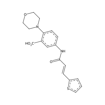 O=C(/C=C/c1cccs1)Nc1ccc(N2CCOCC2)c(C(=O)O)c1